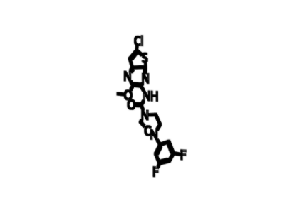 COc1nc2cc(Cl)sc2nc1NC(=O)N1CCN(c2cc(F)cc(F)c2)CC1